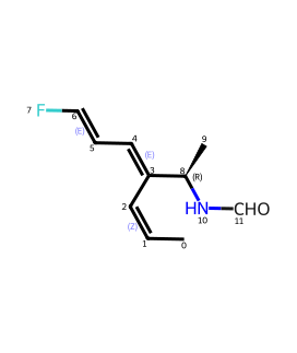 C\C=C/C(=C\C=C\F)[C@@H](C)NC=O